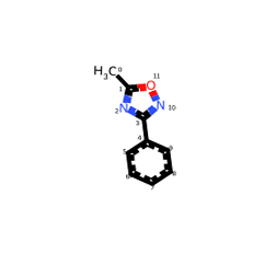 Cc1nc(-c2c[c]ccc2)no1